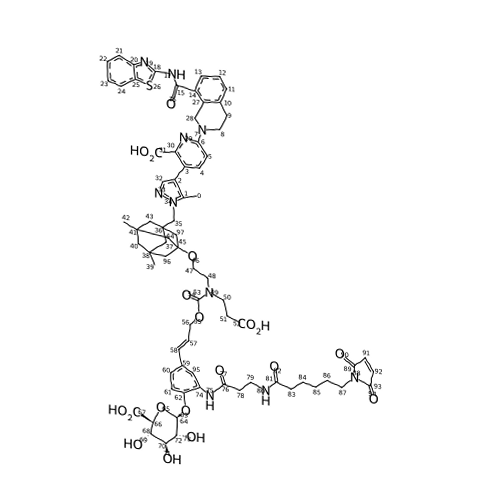 Cc1c(-c2ccc(N3CCc4cccc(C(=O)Nc5nc6ccccc6s5)c4C3)nc2C(=O)O)cnn1CC12CC3(C)CC(C)(C1)CC(OCCN(CCC(=O)O)C(=O)OCC=Cc1ccc(O[C@@H]4O[C@H](C(=O)O)[C@@H](O)[C@H](O)[C@H]4O)c(NC(=O)CCNC(=O)CCCCCN4C(=O)C=CC4=O)c1)(C3)C2